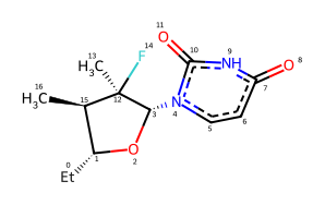 CC[C@H]1O[C@@H](n2ccc(=O)[nH]c2=O)[C@](C)(F)[C@@H]1C